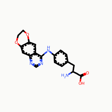 NC(Cc1ccc(Nc2ncnc3cc4c(cc23)OCCO4)cc1)C(=O)O